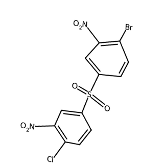 O=[N+]([O-])c1cc(S(=O)(=O)c2ccc(Br)c([N+](=O)[O-])c2)ccc1Cl